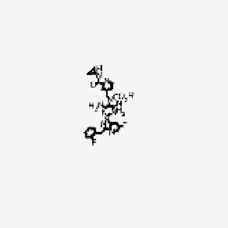 Nc1nc(-n2nc(Cc3ccccc3F)c3ncc(F)cc32)nc(N)c1N(Cc1ccnc(C(=O)NC2CC2)c1)C(=O)O